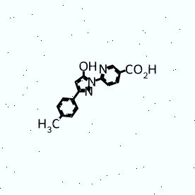 Cc1ccc(-c2cc(O)n(-c3ccc(C(=O)O)cn3)n2)cc1